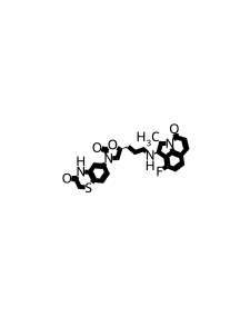 C[C@@H]1[C@@H](NCCC[C@@H]2CN(c3ccc4c(c3)NC(=O)CS4)C(=O)O2)c2c(F)ccc3ccc(=O)n1c23